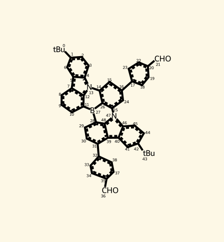 CC(C)(C)c1ccc2c(c1)c1cccc3c1n2-c1cc(-c2ccc(C=O)cc2)cc2c1B3c1ccc(-c3ccc(C=O)cc3)c3c4cc(C(C)(C)C)ccc4n-2c13